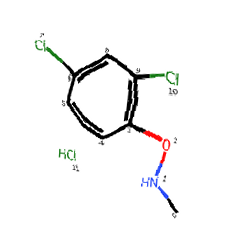 CNOc1ccc(Cl)cc1Cl.Cl